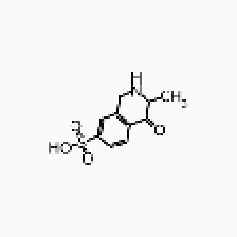 CC1NCc2cc(S(=O)(=O)O)ccc2C1=O